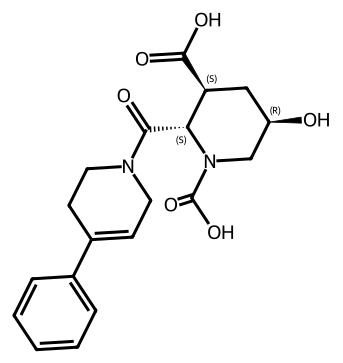 O=C(O)[C@H]1C[C@@H](O)CN(C(=O)O)[C@@H]1C(=O)N1CC=C(c2ccccc2)CC1